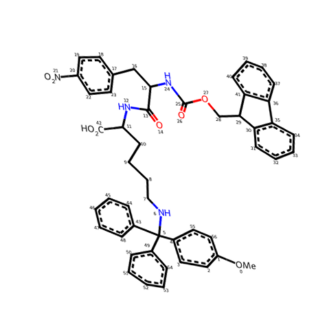 COc1ccc(C(NCCCCC(NC(=O)C(Cc2ccc([N+](=O)[O-])cc2)NC(=O)OCC2c3ccccc3-c3ccccc32)C(=O)O)(c2ccccc2)c2ccccc2)cc1